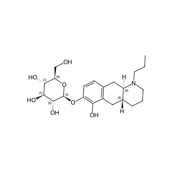 CCCN1CCC[C@@H]2Cc3c(ccc(O[C@@H]4O[C@H](CO)[C@@H](O)[C@H](O)[C@H]4O)c3O)C[C@H]21